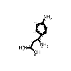 Nc1ccc(C(N)CC(N)O)cc1